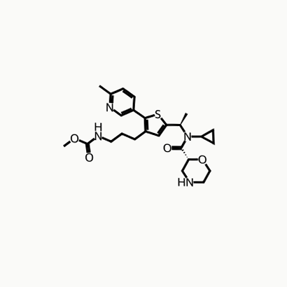 COC(=O)NCCCc1cc([C@@H](C)N(C(=O)[C@H]2CNCCO2)C2CC2)sc1-c1ccc(C)nc1